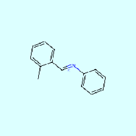 Cc1ccccc1/C=N/c1ccccc1